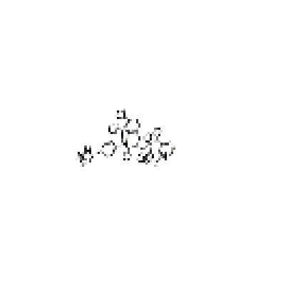 O=C(Nc1ccc(-c2csnn2)cc1)C1C(c2ccc(Cl)c(Cl)c2)OC2(C(=O)c3ccccc3C2=O)C1C(=O)O